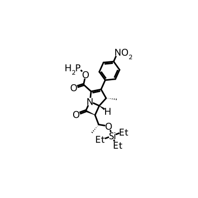 CC[Si](CC)(CC)O[C@H](C)[C@H]1C(=O)N2C(C(=O)OP)=C(c3ccc([N+](=O)[O-])cc3)[C@H](C)[C@H]12